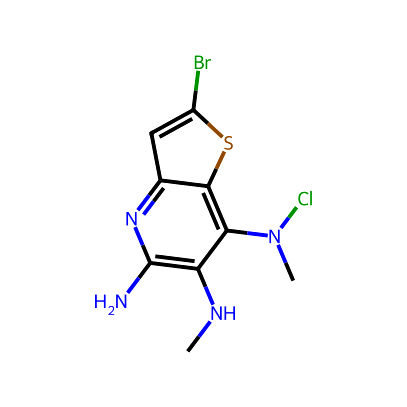 CNc1c(N)nc2cc(Br)sc2c1N(C)Cl